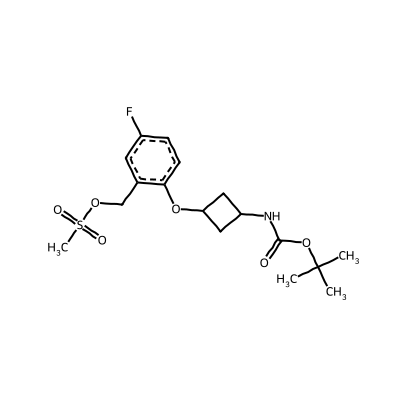 CC(C)(C)OC(=O)NC1CC(Oc2ccc(F)cc2COS(C)(=O)=O)C1